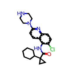 O=C(Nc1c(Cl)ccc2nc(N3CCNCC3)ccc12)C1(C2CCCCC2)CC1